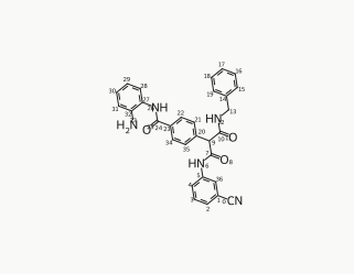 N#Cc1cccc(NC(=O)C(C(=O)NCc2ccccc2)c2ccc(C(=O)Nc3ccccc3N)cc2)c1